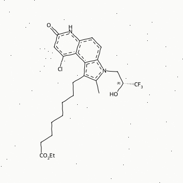 CCOC(=O)CCCCCCCc1c(C)n(C[C@@H](O)C(F)(F)F)c2ccc3[nH]c(=O)cc(Cl)c3c12